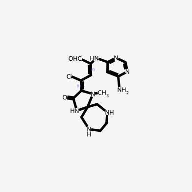 CN1/C(=C(Cl)\C=C(/C=O)Nc2cc(N)ncn2)C(=O)NC12CNCCNC2